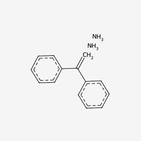 C=C(c1ccccc1)c1ccccc1.N.N